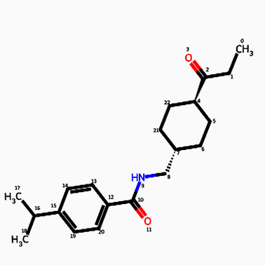 CCC(=O)[C@H]1CC[C@H](CNC(=O)c2ccc(C(C)C)cc2)CC1